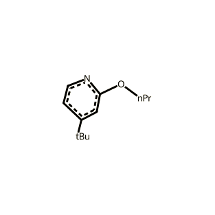 CCCOc1cc(C(C)(C)C)ccn1